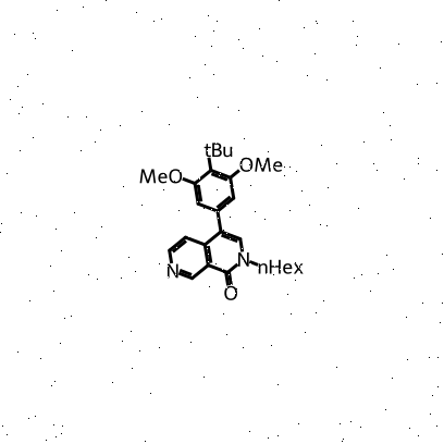 CCCCCCn1cc(-c2cc(OC)c(C(C)(C)C)c(OC)c2)c2ccncc2c1=O